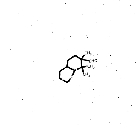 CC1(C=O)CCC2CCCCC2C1(C)C